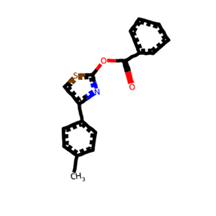 Cc1ccc(-c2csc(OC(=O)c3ccccc3)n2)cc1